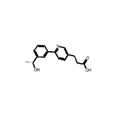 C[C@@H](O)c1cccc(-c2ccc(CCC(=O)O)cn2)c1